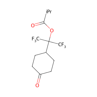 CC(C)C(=O)OC(C1CCC(=O)CC1)(C(F)(F)F)C(F)(F)F